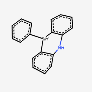 c1ccc([SiH]2c3ccccc3Nc3ccccc32)cc1